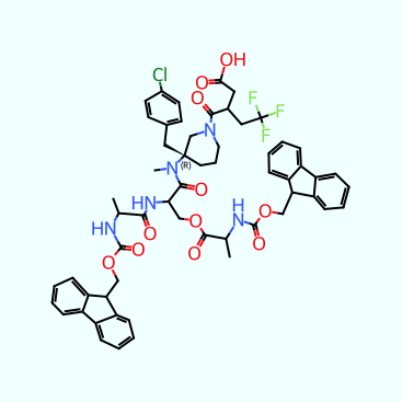 CC(NC(=O)OCC1c2ccccc2-c2ccccc21)C(=O)NC(COC(=O)C(C)NC(=O)OCC1c2ccccc2-c2ccccc21)C(=O)N(C)[C@@]1(Cc2ccc(Cl)cc2)CCCN(C(=O)C(CC(=O)O)CC(F)(F)F)C1